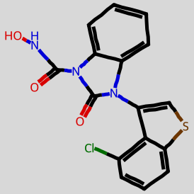 O=C(NO)n1c(=O)n(-c2csc3cccc(Cl)c23)c2ccccc21